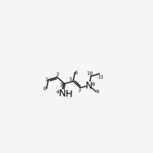 C/C=C\C(=N)/C(C)=C/N(C)CC